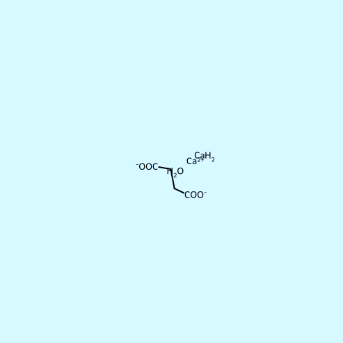 O.O=C([O-])CCC(=O)[O-].[Ca+2].[CaH2]